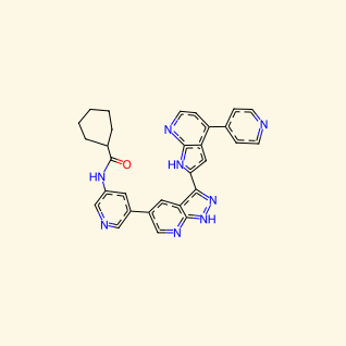 O=C(Nc1cncc(-c2cnc3[nH]nc(-c4cc5c(-c6ccncc6)ccnc5[nH]4)c3c2)c1)C1CCCCC1